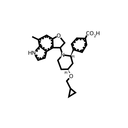 Cc1cc2c(c3cc[nH]c13)C(N1CC[C@@H](OCC3CC3)C[C@@H]1c1ccc(C(=O)O)cc1)CO2